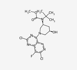 COC(=O)N([C@H]1C[C@@H](O)CN(c2nc(Cl)nc3c(F)c(Cl)ncc23)C1)C(C)(C)C